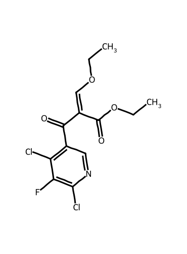 CCOC=C(C(=O)OCC)C(=O)c1cnc(Cl)c(F)c1Cl